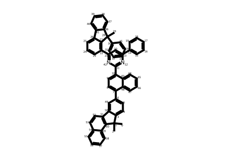 CC1(C)c2ccc(-c3ccc(-c4nc(-c5ccccc5)cc(-c5cccc6c5C(C)(c5ccccc5)c5ccccc5-6)n4)c4ccccc34)cc2-c2ccc3ccccc3c21